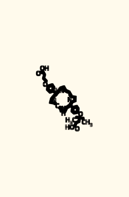 CCC(CC)(CCC(=O)O)Oc1ccc(-c2c3nc(cc4ccc([nH]4)c(-c4ccc(OCCCC(=O)O)cc4)c4nc(cc5ccc2[nH]5)C=C4)C=C3)cc1